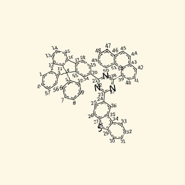 c1ccc(C2(c3ccccc3)c3ccccc3-c3ccc(-c4nc(-c5ccc6sc7ccccc7c6c5)nc(-c5cccc6ccc7ccccc7c56)n4)cc32)cc1